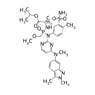 COCP(=O)(NC(C)C(=O)OC(C)C)N(c1ccc(C)c(S(N)(=O)=O)c1)c1nccc(N(C)c2ccc3c(C)n(C)nc3c2)n1